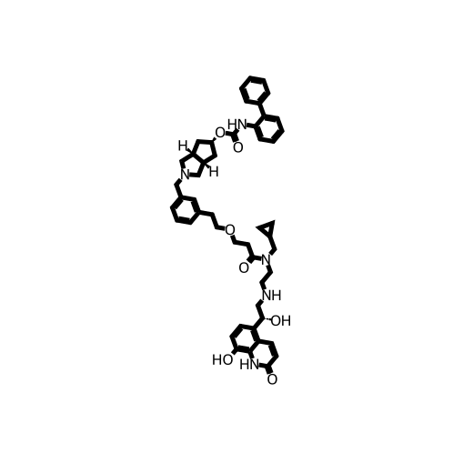 O=C(Nc1ccccc1-c1ccccc1)O[C@H]1C[C@@H]2CN(Cc3cccc(CCOCCC(=O)N(CCNC[C@H](O)c4ccc(O)c5[nH]c(=O)ccc45)CC4CC4)c3)C[C@@H]2C1